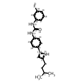 CC(C)CCc1cn(-c2ccc(NC(=O)Nc3cccc(F)c3)cc2)[nH]1